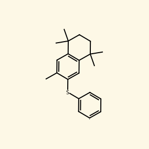 Cc1cc2c(cc1Sc1c[c]ccc1)C(C)(C)CCC2(C)C